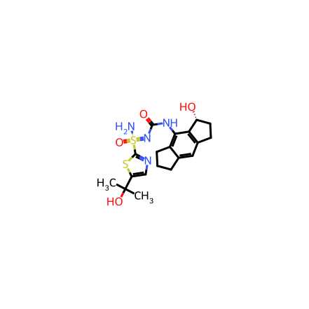 CC(C)(O)c1cnc([S@](N)(=O)=NC(=O)Nc2c3c(cc4c2[C@H](O)CC4)CCC3)s1